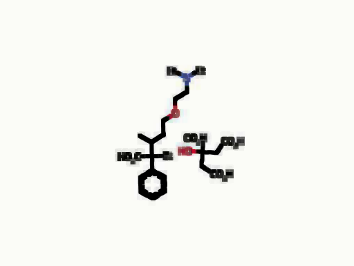 CCN(CC)CCOCCC(C)C(CC)(C(=O)O)c1ccccc1.O=C(O)CC(O)(CC(=O)O)C(=O)O